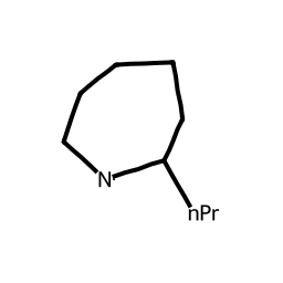 CCCC1CCCCC[N]1